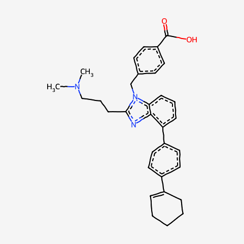 CN(C)CCCc1nc2c(-c3ccc(C4=CCCCC4)cc3)cccc2n1Cc1ccc(C(=O)O)cc1